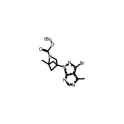 Cc1ncnc2c1c(Br)nn2C12CN(C(=O)OC(C)(C)C)C(C)(C1)C2